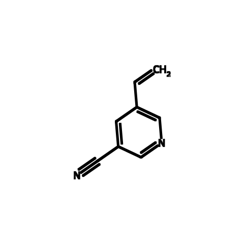 C=Cc1cncc(C#N)c1